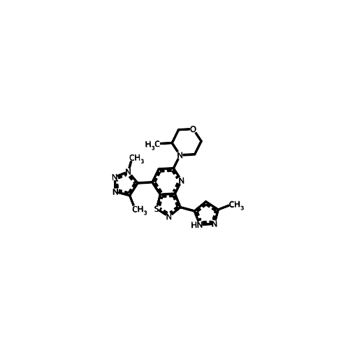 Cc1cc(-c2nsc3c(-c4c(C)nnn4C)cc(N4CCOCC4C)nc23)[nH]n1